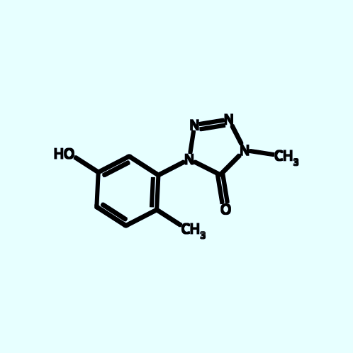 Cc1ccc(O)cc1-n1nnn(C)c1=O